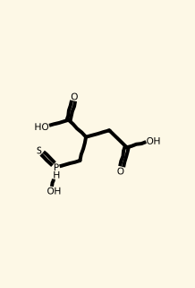 O=C(O)CC(C[PH](O)=S)C(=O)O